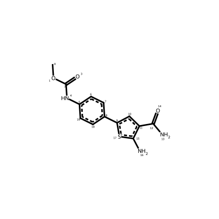 COC(=O)Nc1ccc(-c2cc(C(N)=O)c(N)s2)cc1